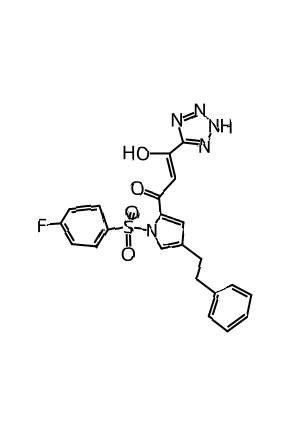 O=C(C=C(O)c1nn[nH]n1)c1cc(CCc2ccccc2)cn1S(=O)(=O)c1ccc(F)cc1